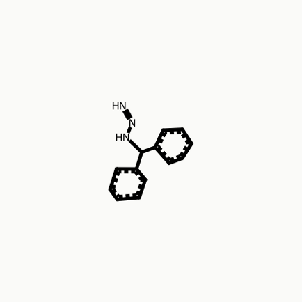 N=NNC(c1ccccc1)c1ccccc1